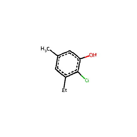 CCc1cc(C)cc(O)c1Cl